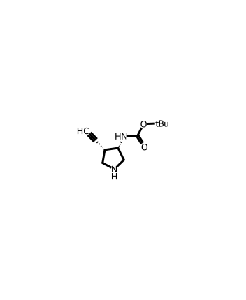 C#C[C@H]1CNC[C@H]1NC(=O)OC(C)(C)C